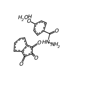 NNC(=O)c1ccc(O)cc1.O.O=c1c(=O)c2ccccc2c1=O